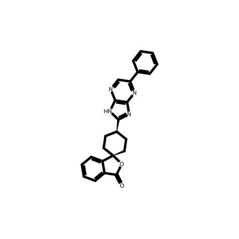 O=C1O[C@]2(CC[C@H](c3nc4nc(-c5ccccc5)cnc4[nH]3)CC2)c2ccccc21